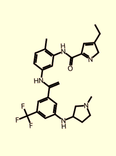 C=C(Nc1ccc(C)c(NC(=O)C2=NCC(CC)=C2)c1)c1cc(NC2CCN(C)C2)cc(C(F)(F)F)c1